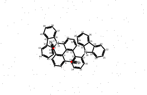 N#Cc1cccc(C#N)c1-c1c(-c2ccccc2-n2c3ccccc3c3ccccc32)cccc1-n1c2ccccc2c2ccccc21